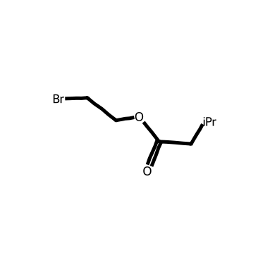 CC(C)CC(=O)OCCBr